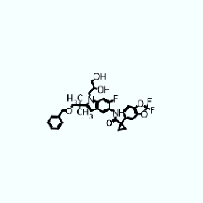 CC(C)(COCc1ccccc1)c1cc2cc(NC(=O)C3(c4ccc5c(c4)OC(F)(F)O5)CC3)c(F)cc2n1CC(O)CO